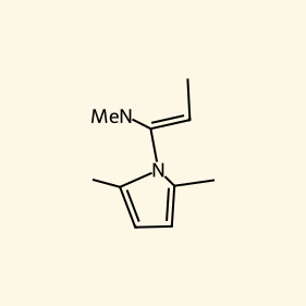 C/C=C(\NC)n1c(C)ccc1C